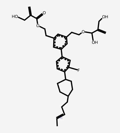 C=C(CO)C(=O)OCCc1cc(CCOC(O)C(=C)CO)cc(-c2ccc(C3CCC(CC/C=C/C)CC3)c(F)c2)c1